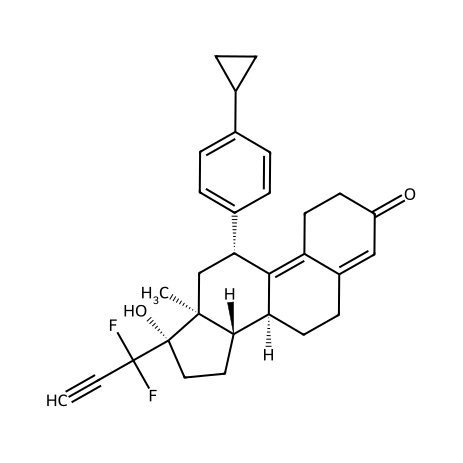 C#CC(F)(F)[C@]1(O)CC[C@H]2[C@@H]3CCC4=CC(=O)CCC4=C3[C@@H](c3ccc(C4CC4)cc3)C[C@@]21C